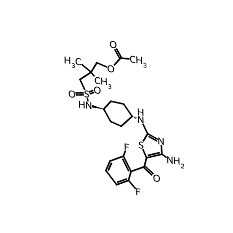 CC(=O)OCC(C)(C)CS(=O)(=O)N[C@H]1CC[C@H](Nc2nc(N)c(C(=O)c3c(F)cccc3F)s2)CC1